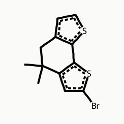 CC1(C)Cc2ccsc2-c2sc(Br)cc21